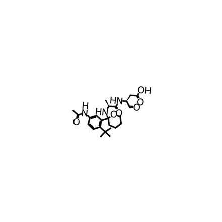 CC(=O)Nc1ccc(C(C)(C)C)c(C2(N[C@@H](C)C(=O)N[C@H](C=O)CC(=O)O)CCCCO2)c1